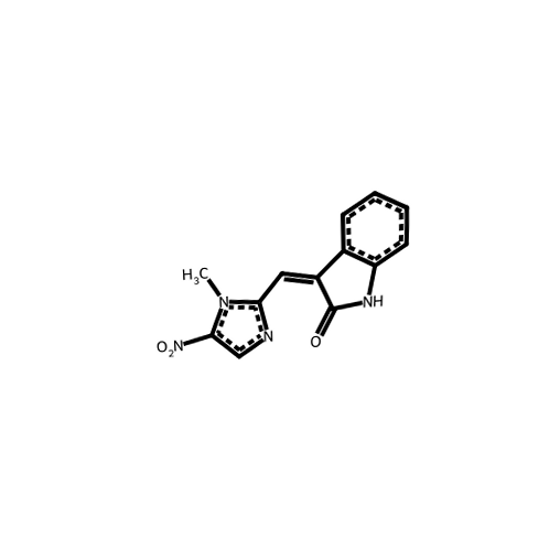 Cn1c([N+](=O)[O-])cnc1C=C1C(=O)Nc2ccccc21